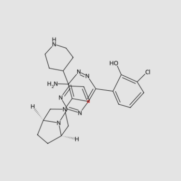 Nc1nnc(-c2cccc(Cl)c2O)cc1N1C[C@H]2CC[C@@H](C1)N2c1nccc(C2CCNCC2)n1